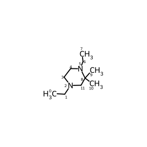 CCN1CCN(CC)C(C)(C)C1